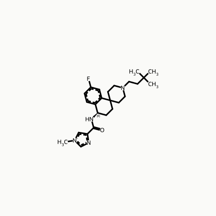 Cn1cnc(C(=O)N[C@@H]2CCC3(CCN(CCC(C)(C)C)CC3)c3cc(F)ccc32)c1